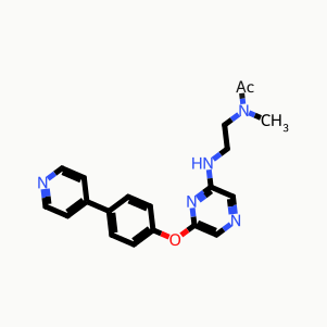 CC(=O)N(C)CCNc1cncc(Oc2ccc(-c3ccncc3)cc2)n1